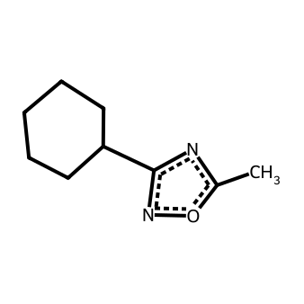 Cc1nc(C2CCCCC2)no1